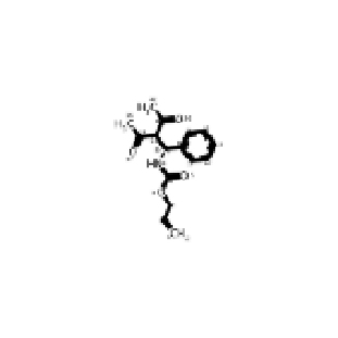 C=CCOC(=O)N[C@@H](c1ccccc1)C(C(C)=O)C(C)=O